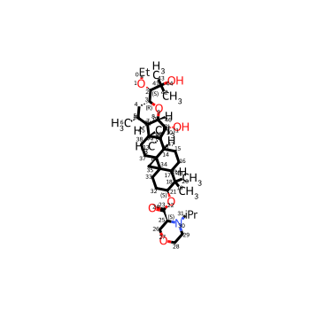 CCO[C@@H]([C@H]1C[C@@H](C)[C@H]2[C@H](O1)[C@H](O)[C@@]1(C)[C@@H]3CC[C@H]4C(C)(C)[C@@H](OC(=O)[C@@H]5COCCN5C(C)C)CCC45C[C@@]35CC[C@]21C)C(C)(C)O